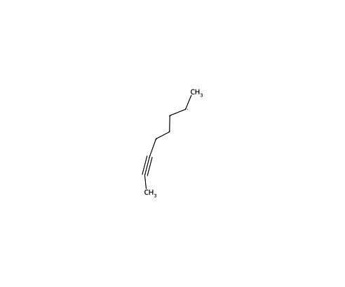 CC#CCCC[CH]C